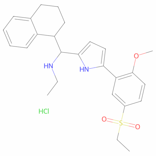 CCNC(c1ccc(-c2cc(S(=O)(=O)CC)ccc2OC)[nH]1)C1CCCc2ccccc21.Cl